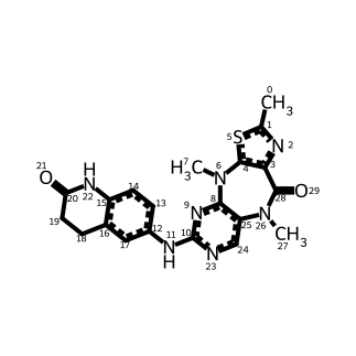 Cc1nc2c(s1)N(C)c1nc(Nc3ccc4c(c3)CCC(=O)N4)ncc1N(C)C2=O